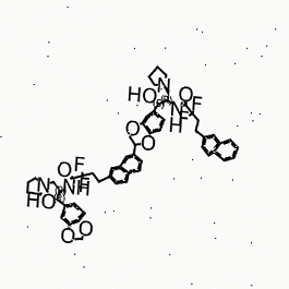 O=C(N[C@H](CN1CCCC1)[C@H](O)c1ccc2c(c1)OCCO2)C(F)(F)CCc1ccc2ccc(C3COc4cc([C@H](O)[C@@H](CN5CCCC5)NC(=O)C(F)(F)CCc5ccc6ccccc6c5)ccc4O3)cc2c1